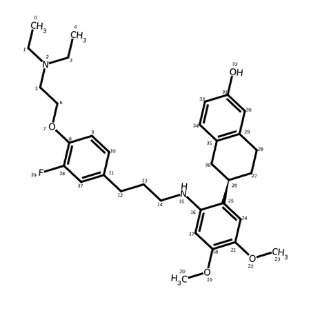 CCN(CC)CCOc1ccc(CCCNc2cc(OC)c(OC)cc2[C@@H]2CCc3cc(O)ccc3C2)cc1F